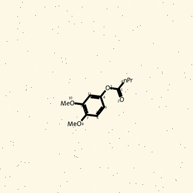 CCCC(=O)Oc1ccc(OC)c(OC)c1